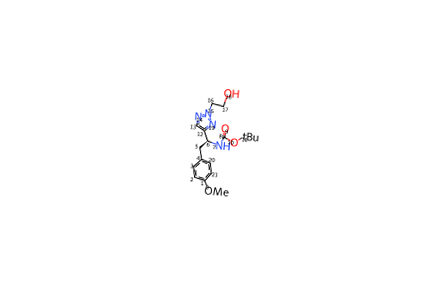 COc1ccc(C[C@H](NC(=O)OC(C)(C)C)c2cnn(CCO)n2)cc1